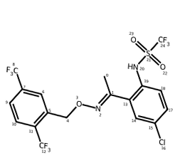 C/C(=N\OCc1cc(C(F)(F)F)ccc1C(F)(F)F)c1cc(Cl)ccc1NS(=O)(=O)C(F)(F)F